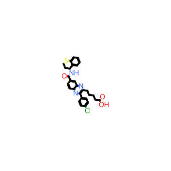 O=C(O)CCCCc1nc2cc(C(=O)N[C@@H]3CCSc4ccccc43)ccc2nc1-c1ccc(Cl)cc1